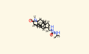 CC(C)NC(=O)NCC1CC[C@H]2[C@@H]3CCC4N(C)C(=O)C=C[C@]4(C)[C@@H]3CC[C@]12C